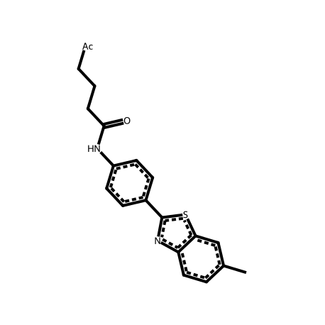 CC(=O)CCCC(=O)Nc1ccc(-c2nc3ccc(C)cc3s2)cc1